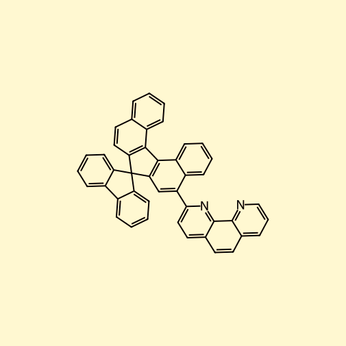 c1ccc2c(c1)-c1ccccc1C21c2ccc3ccccc3c2-c2c1cc(-c1ccc3ccc4cccnc4c3n1)c1ccccc21